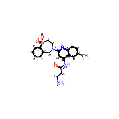 Cc1ccc2nc(N3CCS(=O)(=O)c4ccccc4C3)cc(NC(=O)CCN)c2c1